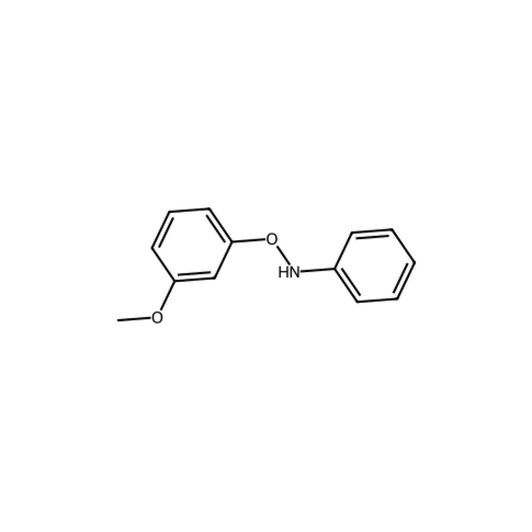 COc1cccc(ONc2ccccc2)c1